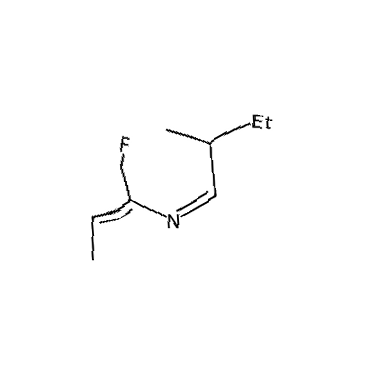 C/C=C(F)\N=C/C(C)CC